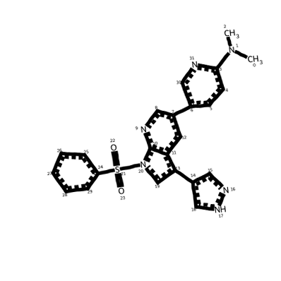 CN(C)c1ccc(-c2cnc3c(c2)c(-c2cn[nH]c2)cn3S(=O)(=O)c2ccccc2)cn1